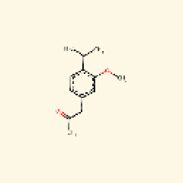 COc1cc(CC(C)=O)ccc1C(C)C